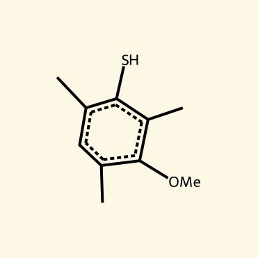 COc1c(C)cc(C)c(S)c1C